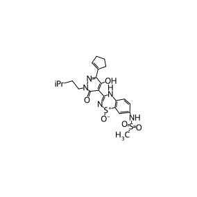 CC(C)CCn1nc(C2=CCCC2)c(O)c(C2=N[S+]([O-])c3cc(NS(C)(=O)=O)ccc3N2)c1=O